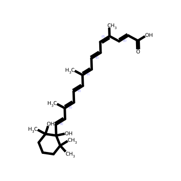 CC(=C/C=C/C=C(C)/C=C/C=C(C)/C=C/C1(O)C(C)(C)CCCC1(C)O)/C=C/C(=O)O